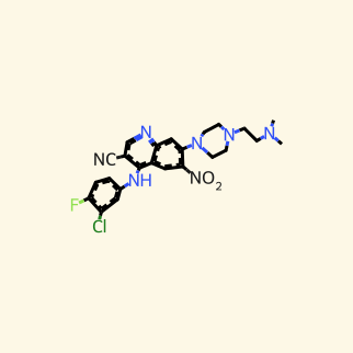 CN(C)CCN1CCN(c2cc3ncc(C#N)c(Nc4ccc(F)c(Cl)c4)c3cc2[N+](=O)[O-])CC1